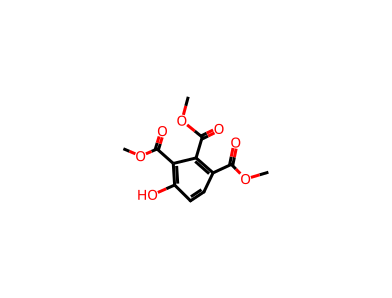 COC(=O)c1ccc(O)c(C(=O)OC)c1C(=O)OC